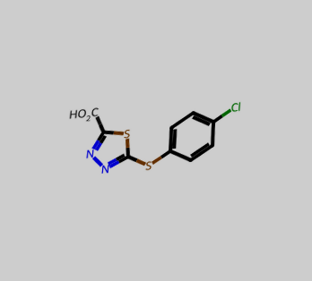 O=C(O)c1nnc(Sc2ccc(Cl)cc2)s1